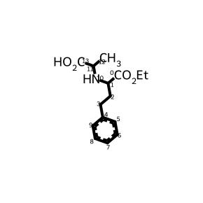 CCOC(=O)C(CCc1ccccc1)NC(C)C(=O)O